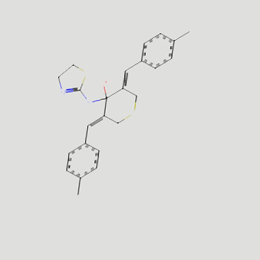 Cc1ccc(C=C2CSCC(=Cc3ccc(C)cc3)C2(O)NC2=NCCS2)cc1